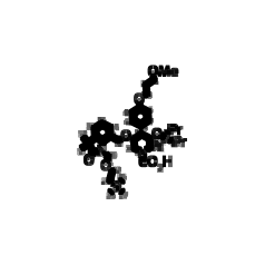 COCCCOc1ccc([C@@H]2[C@@H](OCc3cccc4c3N(COCC[Si](C)(C)C)C(=O)C4(C)C)CN(C(=O)O)C[C@H]2O[Si](C(C)C)(C(C)C)C(C)C)cc1